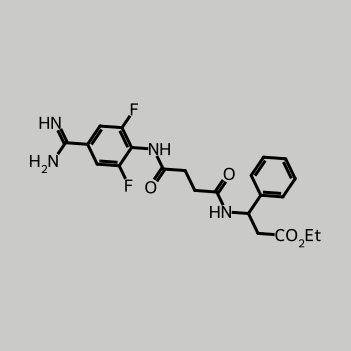 CCOC(=O)CC(NC(=O)CCC(=O)Nc1c(F)cc(C(=N)N)cc1F)c1ccccc1